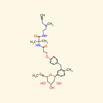 C#CCN(C)CCNC(=O)C(C)(C)NC(=O)CCOc1ccc(Cc2cc([C@@H]3OC(C#SC)[C@@H](O)[C@H](O)[C@H]3O)ccc2C)cc1